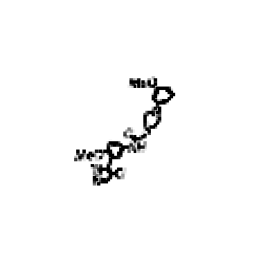 COc1cccc(N2CCN(CC(=O)Nc3ccc(OC)c(-c4c(Cl)cnn4C)c3)CC2)c1